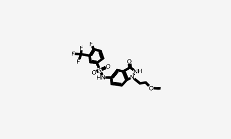 COCCn1[nH]c(=O)c2cc(NS(=O)(=O)c3ccc(F)c(C(F)(F)F)c3)ccc21